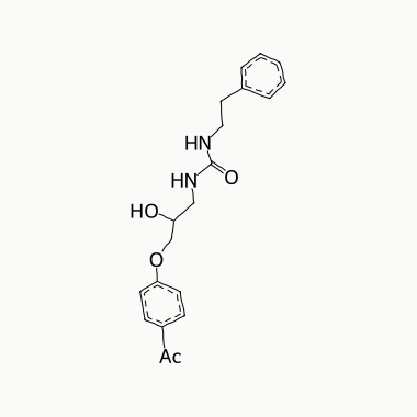 CC(=O)c1ccc(OCC(O)CNC(=O)NCCc2ccccc2)cc1